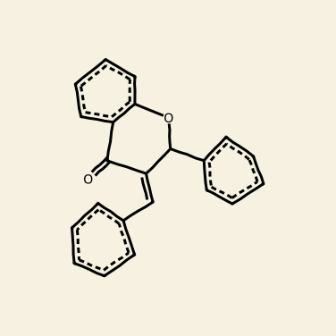 O=C1C(=Cc2ccccc2)C(c2ccccc2)Oc2ccccc21